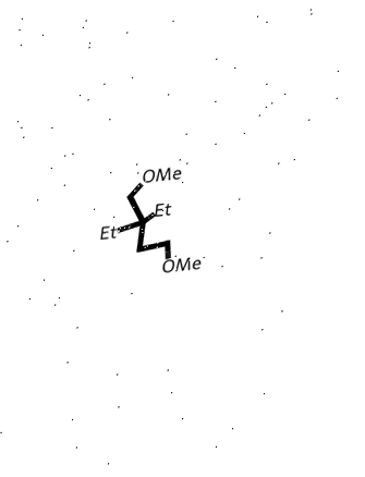 CCC(CC)(CCOC)COC